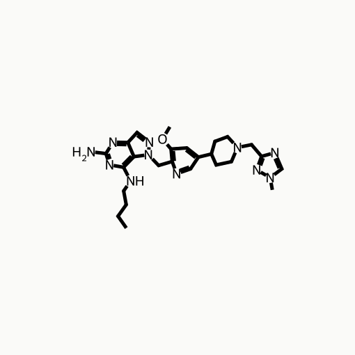 CCCCNc1nc(N)nc2cnn(Cc3ncc(C4CCN(Cc5ncn(C)n5)CC4)cc3OC)c12